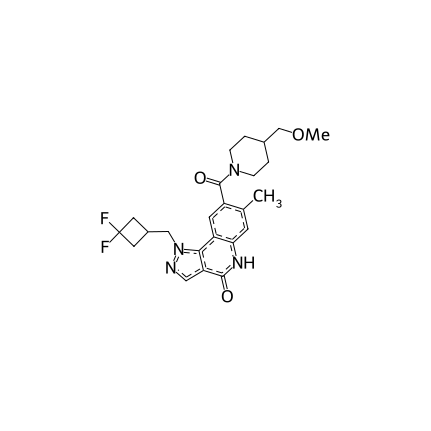 COCC1CCN(C(=O)c2cc3c(cc2C)[nH]c(=O)c2cnn(CC4CC(F)(F)C4)c23)CC1